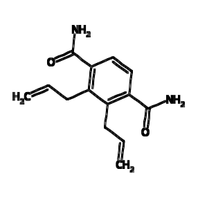 C=CCc1c(C(N)=O)ccc(C(N)=O)c1CC=C